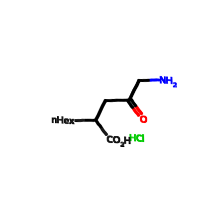 CCCCCCC(CC(=O)CN)C(=O)O.Cl